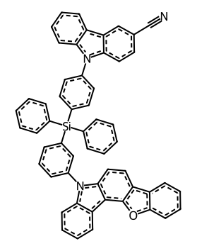 N#Cc1ccc2c(c1)c1ccccc1n2-c1ccc([Si](c2ccccc2)(c2ccccc2)c2cccc(-n3c4ccccc4c4c5oc6ccccc6c5ccc43)c2)cc1